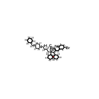 COc1nc2ccc(Br)cc2cc1C(c1ccccc1)C(O)(CCCCN1CCN(Cc2ccccc2)CC1)c1ccccc1